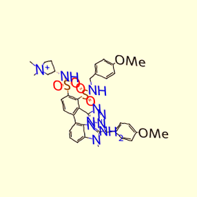 COc1ccc(CNS(=O)(=O)c2c(S(=O)(=O)N[C@H]3CC[N+](C)(C)C3)ccc(-c3cccc4c3nc(N)n4C)c2-c2nnn(Cc3ccc(OC)cc3)n2)cc1